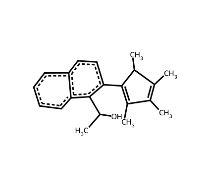 CC1=C(C)C(C)C(c2ccc3ccccc3c2C(C)O)=C1C